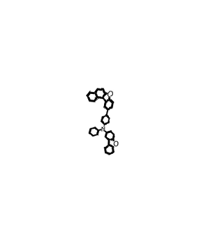 c1ccc(N(c2ccc(-c3ccc4oc5ccc6ccccc6c5c4c3)cc2)c2ccc3oc4ccccc4c3c2)cc1